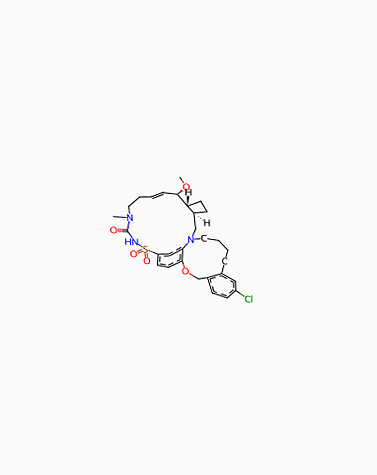 CO[C@@H]1/C=C/CCN(C)C(=O)NS(=O)(=O)c2ccc3c(c2)N(CCCCc2cc(Cl)ccc2CO3)C[C@@H]2CC[C@H]21